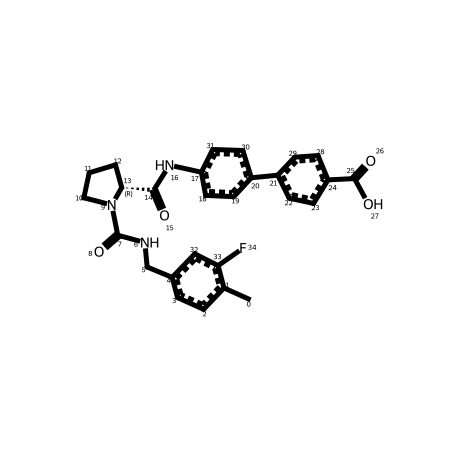 Cc1ccc(CNC(=O)N2CCC[C@@H]2C(=O)Nc2ccc(-c3ccc(C(=O)O)cc3)cc2)cc1F